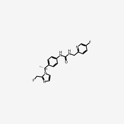 C[C@H](c1ccc(NC(=O)NCc2ccc(F)cn2)cc1)n1ccnc1CF